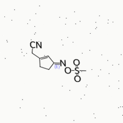 CS(=O)(=O)O/N=C1/C=C(CC#N)CC1